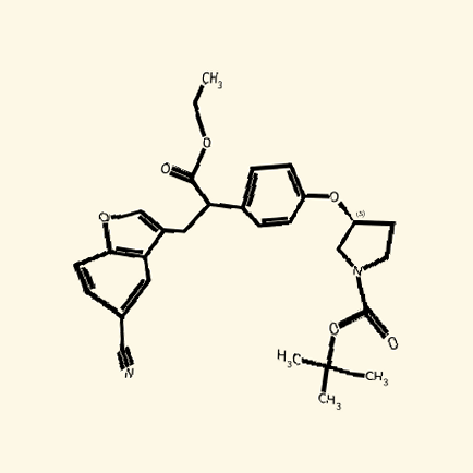 CCOC(=O)C(Cc1coc2ccc(C#N)cc12)c1ccc(O[C@H]2CCN(C(=O)OC(C)(C)C)C2)cc1